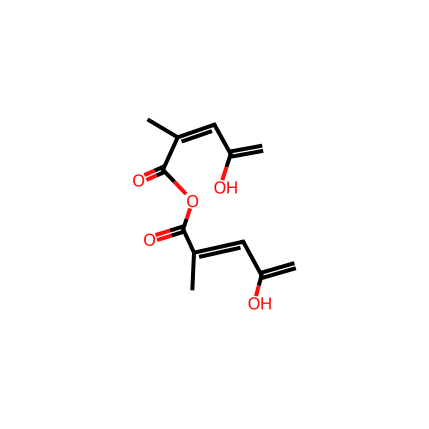 C=C(O)C=C(C)C(=O)OC(=O)C(C)=CC(=C)O